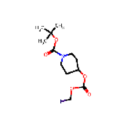 CC(C)(C)OC(=O)N1CCC(OC(=O)OCI)CC1